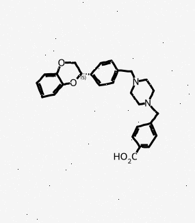 O=C(O)c1ccc(CN2CCN(Cc3ccc([C@H]4COc5ccccc5O4)cc3)CC2)cc1